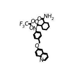 NC(=O)C1CCCCC1C(=O)N(OC(=O)C(F)(F)F)c1ccc(COc2ccc3ncccc3c2)cc1